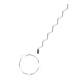 C1CNCCNCNCCNC1.C=CCCCCCCCCCCCC